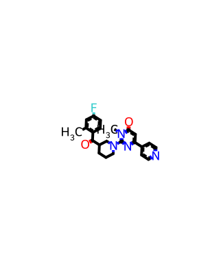 Cc1cc(F)ccc1C(=O)C1CCCN(c2nc(-c3ccncc3)cc(=O)n2C)C1